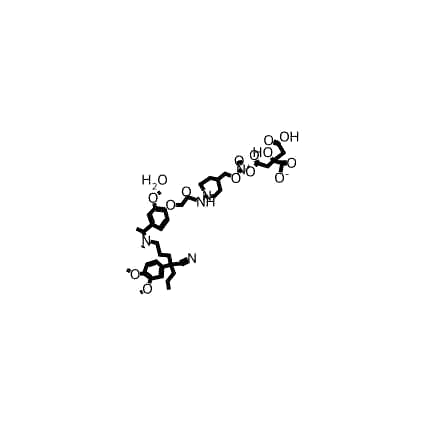 CCCC(C#N)(CCCN(C)C(C)c1ccc(OCC(=O)NN2CCC(CO[N+](=O)OC(=O)CC(O)(CC(=O)O)C(=O)[O-])CC2)c(OC)c1)c1ccc(OC)c(OC)c1.O